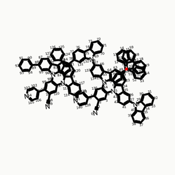 N#Cc1cc(-n2c3ccc(-n4c5ccccc5c5ccccc54)cc3c3cc(-n4c5ccccc5c5ccccc54)ccc32)c(-n2c3ccc(-n4c5ccccc5c5ccccc54)cc3c3cc(-n4c5ccccc5c5ccc(-c6ccc7c(c6)c6ccc(-c8ccccc8)cc6n7-c6cc(-c7ccncc7)c(C#N)cc6-n6c7ccccc7c7ccc(-c8ccccc8)cc76)cc54)ccc32)cc1-c1ccncc1